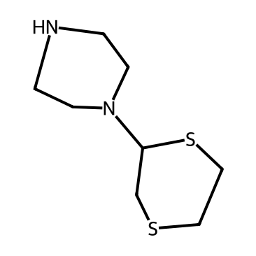 C1CN(C2CSCCS2)CCN1